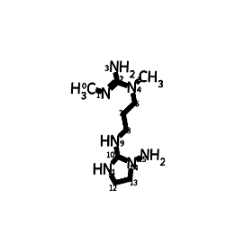 CN=C(N)N(C)CCCNC1NCCN1N